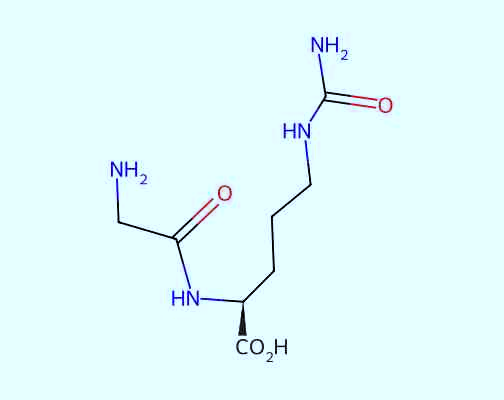 NCC(=O)N[C@@H](CCCNC(N)=O)C(=O)O